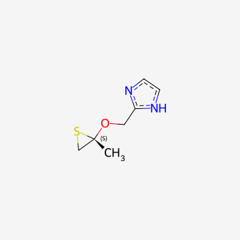 C[C@@]1(OCc2ncc[nH]2)CS1